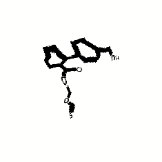 O=C(OCOC=S)c1ccccc1-c1ccc(CO)cc1